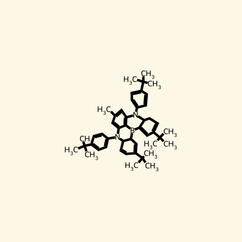 Cc1cc2c3c(c1)N(c1ccc(C(C)(C)C)cc1)C1C=CC(C(C)(C)C)=CC1B3C1=CC(C(C)(C)C)=CCC1N2c1ccc(C(C)(C)C)cc1